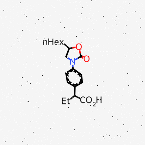 CCCCCCC1CN(c2ccc(C(CC)C(=O)O)cc2)C(=O)O1